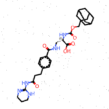 O=C(CCc1ccc(C(=O)NC[C@H](NC(=O)OCC23CC4CC(CC(C4)C2)C3)C(=O)O)cc1)NC1=NCCCN1